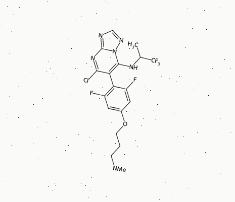 CNCCCOc1cc(F)c(-c2c(Cl)nc3ncnn3c2NC(C)C(F)(F)F)c(F)c1